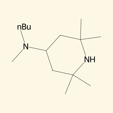 CCCCN(C)C1CC(C)(C)NC(C)(C)C1